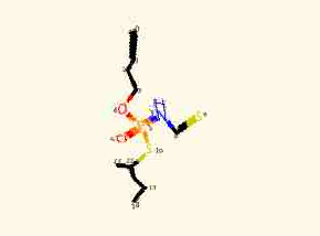 C=CCCOP(=O)(NC=S)SC(C)CC